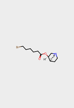 O=C(CCCCCBr)O[C@H]1CN2CCC1CC2